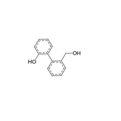 OCc1ccccc1-c1ccccc1O